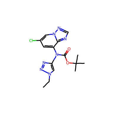 CCn1cc(N(C(=O)OC(C)(C)C)c2cc(Cl)cn3ncnc23)nn1